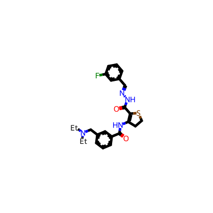 CCN(CC)Cc1cccc(C(=O)NC2=C(C(=O)N/N=C/c3cccc(F)c3)SCC2)c1